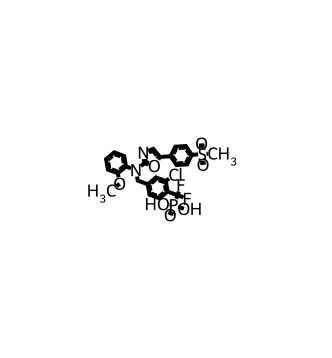 COc1ccccc1N(Cc1ccc(C(F)(F)P(=O)(O)O)c(Cl)c1)c1ncc(-c2ccc(S(C)(=O)=O)cc2)o1